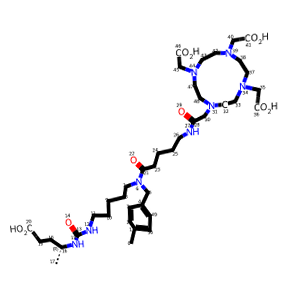 Cc1ccc(CN(CCCCCNC(=O)N[C@H](C)CCC(=O)O)C(=O)CCCCNC(=O)CN2CCN(CC(=O)O)CCN(CC(=O)O)CCN(CC(=O)O)CC2)cc1